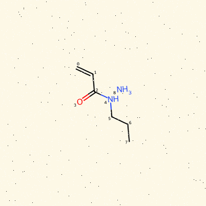 C=CC(=O)NCCC.N